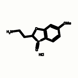 COc1ccc2c(c1)OC(CCN)[N+]2=O.Cl